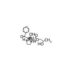 CC(O)COC(=O)[C@@H]1[C@H]2CC[C@@H](C(C(=O)c3ccccc3)[C@@H]1O)N2C